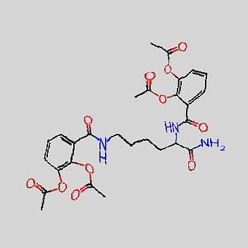 CC(=O)Oc1cccc(C(=O)NCCCCC(NC(=O)c2cccc(OC(C)=O)c2OC(C)=O)C(N)=O)c1OC(C)=O